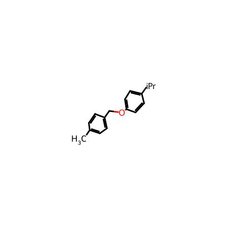 Cc1ccc(COc2ccc(C(C)C)cc2)cc1